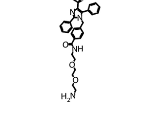 NCCOCCOCCNC(=O)c1ccc(Cn2c(-c3ccccc3)nc(-c3ccccc3)c2-c2ccccc2)cc1